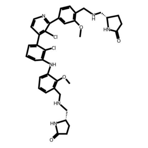 COc1cc(-c2nccc(-c3cccc(Nc4cccc(CNC[C@@H]5CCC(=O)N5)c4OC)c3Cl)c2Cl)ccc1CNC[C@@H]1CCC(=O)N1